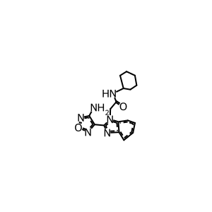 Nc1nonc1-c1nc2ccccc2n1CC(=O)NC1CCCCC1